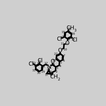 C=CCC(Cc1ccc(OCCOc2c(Cl)cc(C)cc2Cl)cc1)C(=O)N(Cc1cccc(Cl)c1Cl)C1CC1